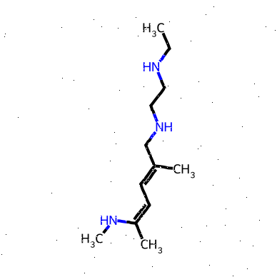 CCNCCNC/C(C)=C/C=C(/C)NC